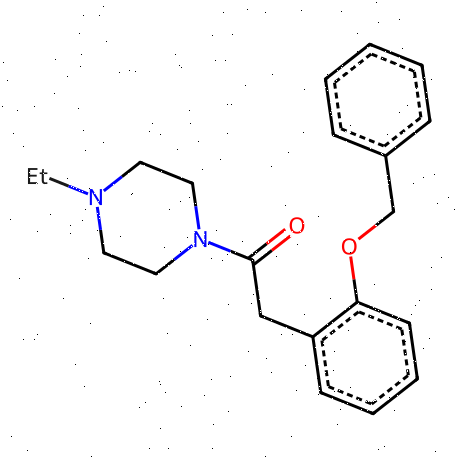 CCN1CCN(C(=O)Cc2ccccc2OCc2ccccc2)CC1